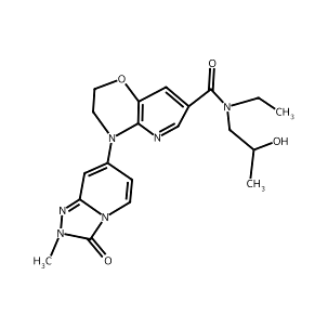 CCN(CC(C)O)C(=O)c1cnc2c(c1)OCCN2c1ccn2c(=O)n(C)nc2c1